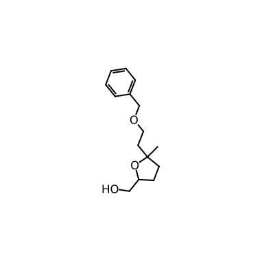 CC1(CCOCc2ccccc2)CCC(CO)O1